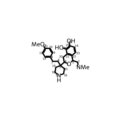 CNCC1OC(C2(CCc3ccc(OC)cc3)CCNCC2)Cc2c1ccc(O)c2O